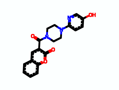 O=C(c1cc2ccccc2oc1=O)N1CCN(c2ccc(O)cn2)CC1